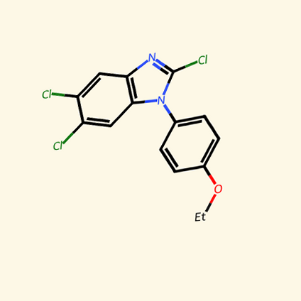 CCOc1ccc(-n2c(Cl)nc3cc(Cl)c(Cl)cc32)cc1